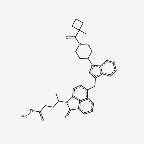 CC(CCC(=O)NC=O)N1C(=O)c2cccc3c(Cc4cn(C5CCN(C(=O)C6(C)CCC6)CC5)c5cnccc45)ccc1c23